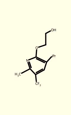 Cc1nc(OCCO)c(C(C)C)cc1C(F)(F)F